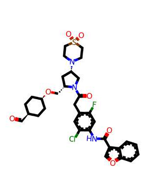 O=C[C@H]1CC[C@H](OC[C@@H]2C[C@H](N3CCS(=O)(=O)CC3)CN2C(=O)Cc2cc(Cl)c(NC(=O)c3coc4ccccc34)cc2F)CC1